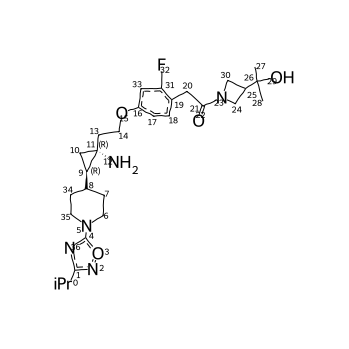 CC(C)c1noc(N2CCC([C@H]3C[C@@]3(N)CCOc3ccc(CC(=O)N4CC(C(C)(C)O)C4)c(F)c3)CC2)n1